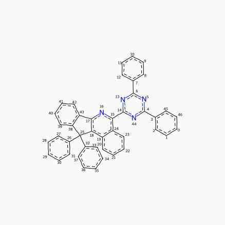 c1ccc(-c2nc(-c3ccccc3)nc(-c3nc4c(c5ccccc35)C(c3ccccc3)(c3ccccc3)c3ccccc3-4)n2)cc1